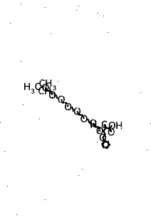 C=C(C(=O)O)C(COc1ccccc1)OCCOCCOCCOCCOCCOCCOCCOC(C)(C)C